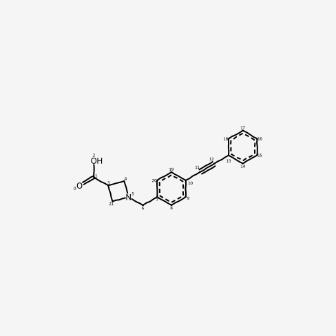 O=C(O)C1CN(Cc2ccc(C#Cc3ccccc3)cc2)C1